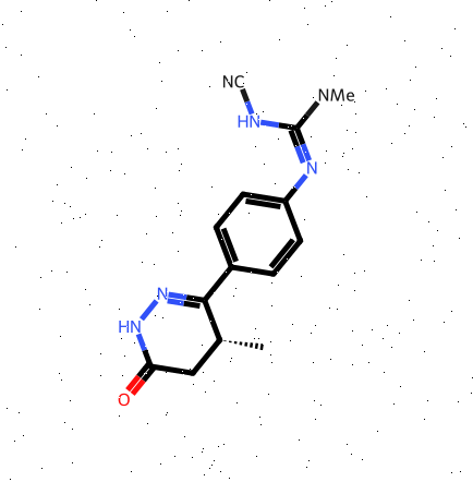 CN/C(=N/c1ccc(C2=NNC(=O)C[C@H]2C)cc1)NC#N